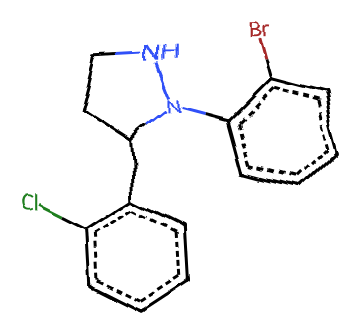 Clc1ccccc1C1CCNN1c1ccccc1Br